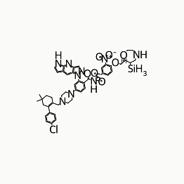 CC1(C)CCC(CN2CCN(c3ccc(C(=O)NS(=O)(=O)c4ccc(OC[C@H]5OCCNCC5[SiH3])c([N+](=O)[O-])c4)c(-n4ncc5nc6[nH]ccc6cc54)c3)CC2)=C(c2ccc(Cl)cc2)C1